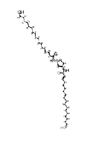 O=C(/C=C/CCCCCCCCCCCCCCCO)N[C@@H]1CC[C@H](NC(=O)/C=C/CCCCCCCCCCCCCCCO)C1